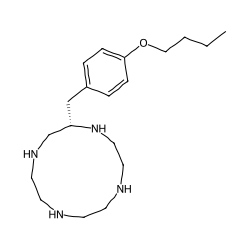 CCCCOc1ccc(C[C@H]2CNCCNCCNCCN2)cc1